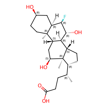 C[C@H](CCC(=O)O)[C@H]1CC[C@H]2[C@@H]3[C@@H](O)[C@H](F)[C@@H]4C[C@H](O)CC[C@]4(C)[C@H]3C[C@H](O)[C@]12C